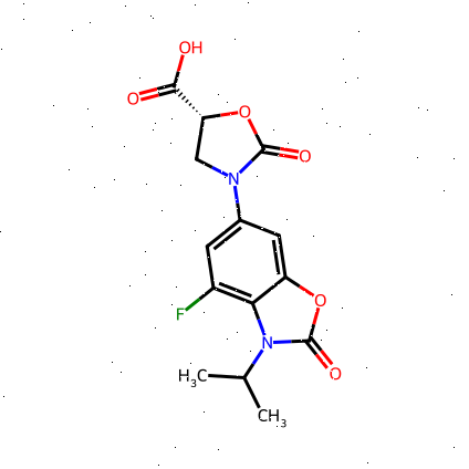 CC(C)n1c(=O)oc2cc(N3C[C@H](C(=O)O)OC3=O)cc(F)c21